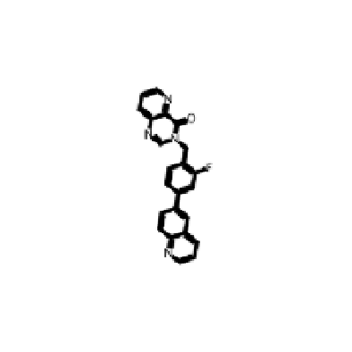 O=c1c2ncccc2ncn1Cc1ccc(-c2ccc3ncccc3c2)cc1F